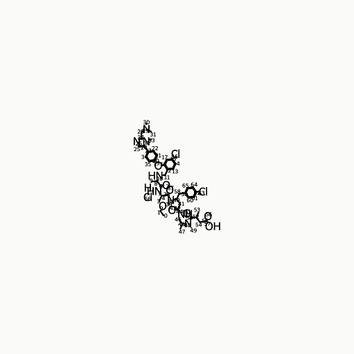 CCOCC(NC(=O)C(C)NCc1ccc(Cl)cc1Oc1ccc(-c2cnc(CN(C)C)n2C)cc1)C(=O)N(C)C(CC(=O)NCC(C)N(C)C(=O)C(C)CC(=O)O)Cc1ccc(Cl)cc1.Cl